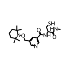 CNC(=O)C(CS)NC(=O)c1cncc(CON2C(C)(C)CCCC2(C)C)c1